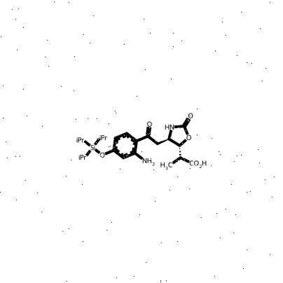 CC(C(=O)O)[C@H]1OC(=O)N[C@@H]1CC(=O)c1ccc(O[Si](C(C)C)(C(C)C)C(C)C)cc1N